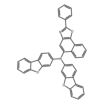 c1ccc(-c2nc3cc(N(c4ccc5c(c4)oc4ccccc45)c4ccc5c(c4)oc4ccccc45)c4ccccc4c3o2)cc1